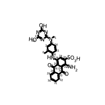 Cc1cc(N(C)c2nc(O)nc(O)n2)ccc1Nc1cc(S(=O)(=O)O)c(N)c2c1C(=O)c1ccccc1C2=O